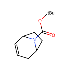 CC(C)(C)OC(=O)N1C2C=[C]CC1CC2